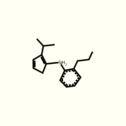 CCCc1ccccc1[SiH2]C1=C(C(C)C)C=CC1